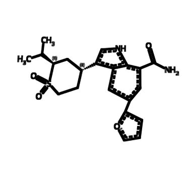 CC(C)[C@H]1C[C@H](c2c[nH]c3c(C(N)=O)cc(-c4ccco4)cc23)CCS1(=O)=O